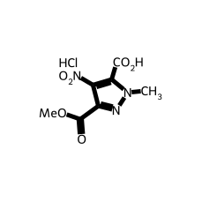 COC(=O)c1nn(C)c(C(=O)O)c1[N+](=O)[O-].Cl